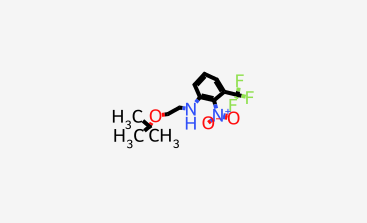 CC(C)(C)OCCNc1cccc(C(F)(F)F)c1[N+](=O)[O-]